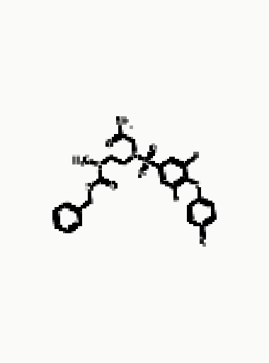 CN(CCN(CC(N)=O)S(=O)(=O)c1cc(F)c(Oc2ccc(Cl)cc2)c(F)c1)C(=O)OCc1ccccc1